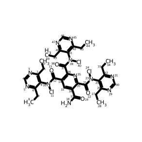 CCc1ncnc(CC)c1N(Cl)C(=O)c1cc(C(N)=O)c(C(=O)N(Cl)c2c(CC)ncnc2CC)nc1C(=O)N(Cl)c1c(CC)ncnc1CC